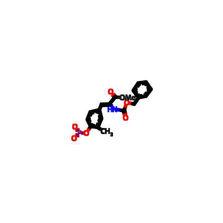 COC(=O)C(=Cc1ccc(OP(=O)=O)c(C)c1)NC(=O)OCc1ccccc1